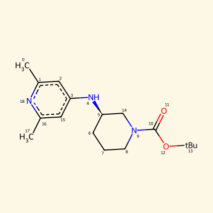 Cc1cc(N[C@@H]2CCCN(C(=O)OC(C)(C)C)C2)cc(C)n1